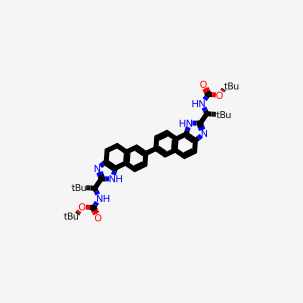 CC(C)(C)OC(=O)NC(c1nc2c([nH]1)-c1ccc(-c3ccc4c(ccc5nc(C(NC(=O)OC(C)(C)C)C(C)(C)C)[nH]c54)c3)cc1CC2)C(C)(C)C